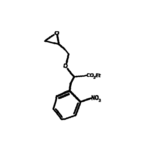 CCOC(=O)C(OCC1CO1)c1ccccc1[N+](=O)[O-]